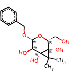 CC1(C)[C@]2(O)[C@@H](CO)O[C@@H](OCc3ccccc3)[C@H](O)[C@]12O